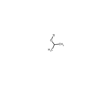 CC(C)[O][Tl]